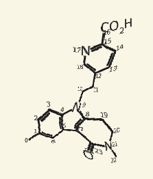 Cc1ccc2c(c1)c1c(n2CCc2ccc(C(=O)O)nc2)CCN(C)C1=O